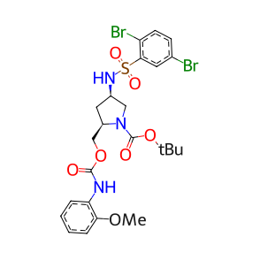 COc1ccccc1NC(=O)OC[C@H]1C[C@@H](NS(=O)(=O)c2cc(Br)ccc2Br)CN1C(=O)OC(C)(C)C